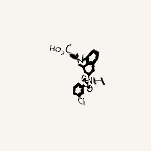 O=C(O)CCN1CC2CC(NS(=O)(=O)c3cccc(Cl)c3)Cc3cccc1c32